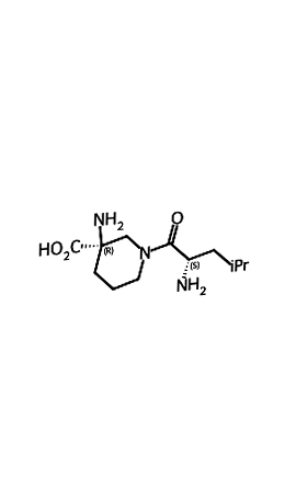 CC(C)C[C@H](N)C(=O)N1CCC[C@](N)(C(=O)O)C1